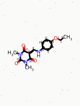 CCOc1ccc(NC=C2C(=O)N(C)C(=O)N(C)C2=O)cc1